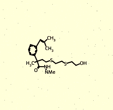 CNNC(=O)C(C)(CCSCCSCCO)c1cccc(C=C(C)C)c1